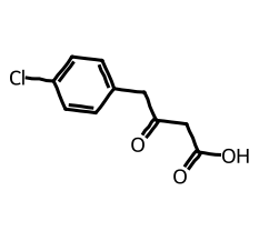 O=C(O)CC(=O)Cc1ccc(Cl)cc1